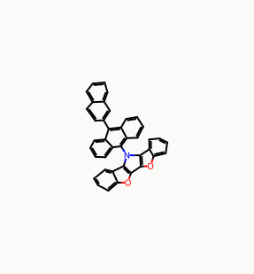 c1ccc2cc(-c3c4ccccc4c(-n4c5c6ccccc6oc5c5oc6ccccc6c54)c4ccccc34)ccc2c1